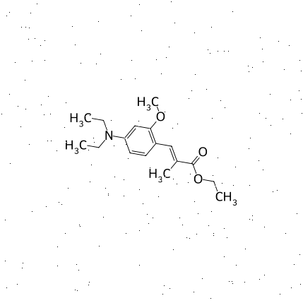 CCOC(=O)/C(C)=C/c1ccc(N(CC)CC)cc1OC